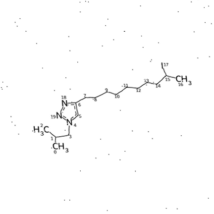 CC(C)Cn1cc(CCCCCCCCC(C)I)nn1